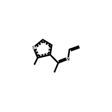 C=C/N=C(/C)c1ccsc1C